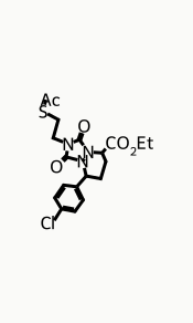 CCOC(=O)C1CCC(c2ccc(Cl)cc2)n2c(=O)n(CCSC(C)=O)c(=O)n21